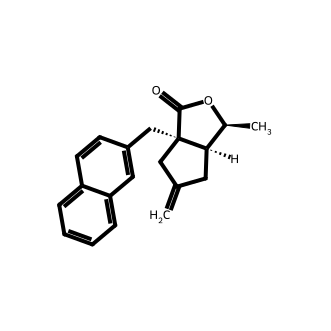 C=C1C[C@@H]2[C@H](C)OC(=O)[C@]2(Cc2ccc3ccccc3c2)C1